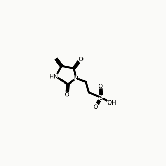 C=C1NC(=O)N(CCS(=O)(=O)O)C1=O